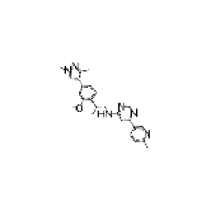 COc1cc(-c2cn(C)nc2C)ccc1C(C)CNc1cc(-c2ccc(C)nc2)ncn1